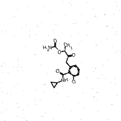 C[C@H](OC(N)=O)C(=O)Cc1cccc(Cl)c1C(=O)NC1CC1